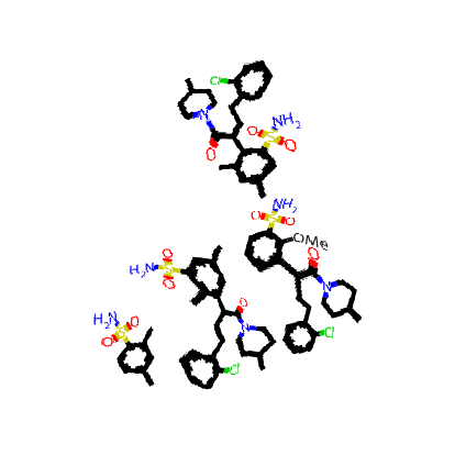 COc1c(C(CCc2ccccc2Cl)C(=O)N2CCC(C)CC2)cccc1S(N)(=O)=O.Cc1cc(C(CCc2ccccc2Cl)C(=O)N2CCC(C)CC2)c(C)c(S(N)(=O)=O)c1.Cc1cc(C)c(C(CCc2ccccc2Cl)C(=O)N2CCC(C)CC2)c(S(N)(=O)=O)c1.Cc1ccc(S(N)(=O)=O)c(C)c1